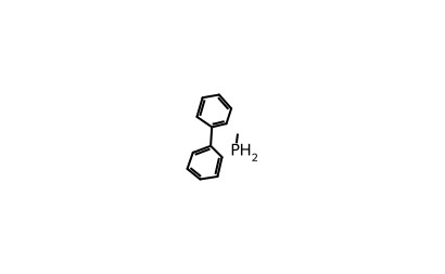 CP.c1ccc(-c2ccccc2)cc1